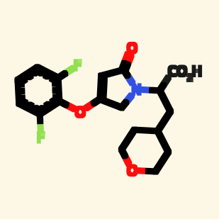 O=C(O)C(CC1CCOCC1)N1CC(Oc2c(F)cccc2F)=CC1=O